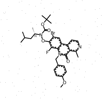 COc1ccc(Cn2c(=O)c3c(C)nccc3c3cc(Br)c(ON(C(=O)OC(C)(C)C)[C@@H](C)CC(C)C)c(F)c32)cc1